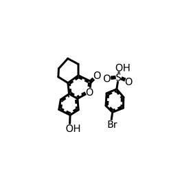 O=S(=O)(O)c1ccc(Br)cc1.O=c1oc2cc(O)ccc2c2c1CCCC2